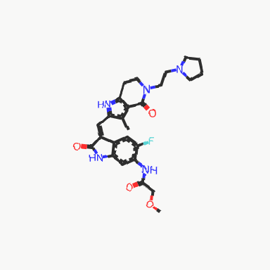 COCC(=O)Nc1cc2c(cc1F)/C(=C\c1[nH]c3c(c1C)C(=O)N(CCN1CCCC1)CC3)C(=O)N2